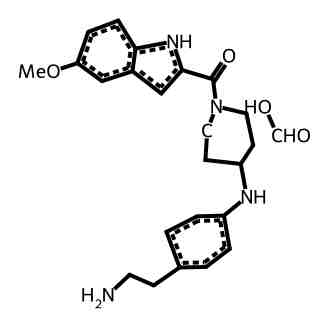 COc1ccc2[nH]c(C(=O)N3CCC(Nc4ccc(CCN)cc4)CC3)cc2c1.O=CO